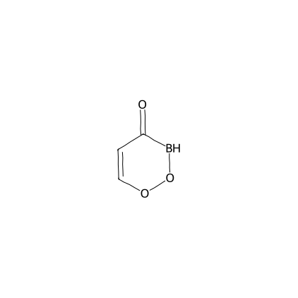 O=C1BOOC=C1